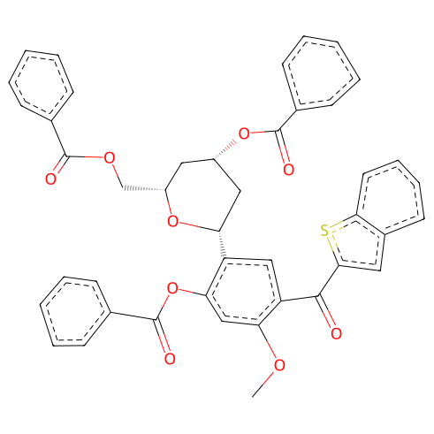 COc1cc(OC(=O)c2ccccc2)c([C@H]2C[C@@H](OC(=O)c3ccccc3)C[C@@H](COC(=O)c3ccccc3)O2)cc1C(=O)c1cc2ccccc2s1